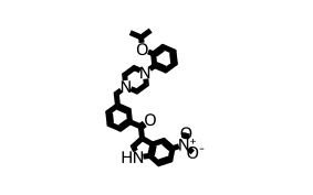 CC(C)Oc1ccccc1N1CCN(Cc2cccc(C(=O)C3CNc4ccc([N+](=O)[O-])cc43)c2)CC1